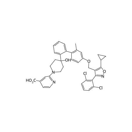 Cc1cc(OCc2c(-c3c(Cl)cccc3Cl)noc2C2CC2)ccc1-c1ccccc1C1(O)CCN(c2cc(C(=O)O)ccn2)CC1